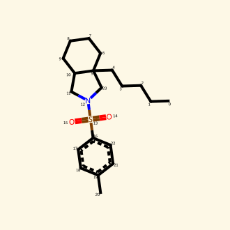 CCCCCC12CCCCC1CN(S(=O)(=O)c1ccc(C)cc1)C2